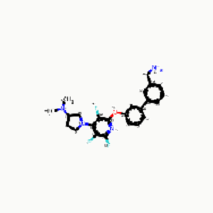 CN(C)C1CCN(c2c(F)c(F)nc(Oc3cccc(-c4cccc(CN)c4)c3)c2F)C1